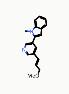 COC/C=C/c1cncc(-c2cc3ccccc3n2C)c1